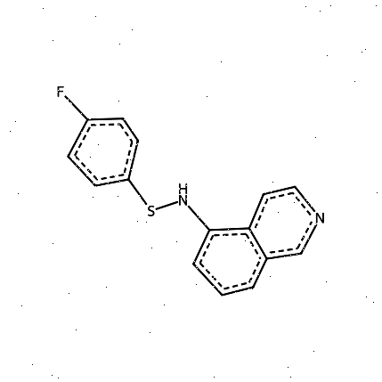 Fc1ccc(SNc2cccc3cnccc23)cc1